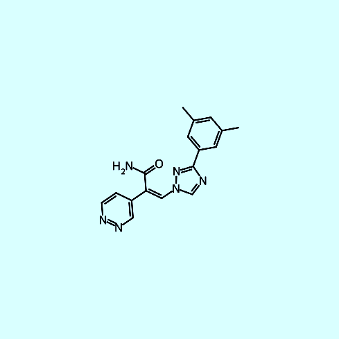 Cc1cc(C)cc(-c2ncn(C=C(C(N)=O)c3ccnnc3)n2)c1